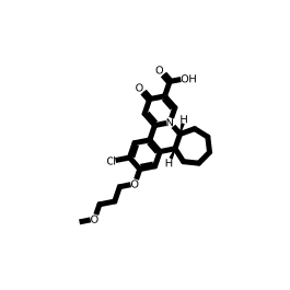 COCCCOc1cc2c(cc1Cl)-c1cc(=O)c(C(=O)O)cn1[C@@H]1CCCCC[C@H]21